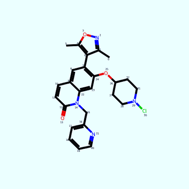 Cc1noc(C)c1-c1cc2ccc(=O)n(Cc3ccccn3)c2cc1OC1CCN(Cl)CC1